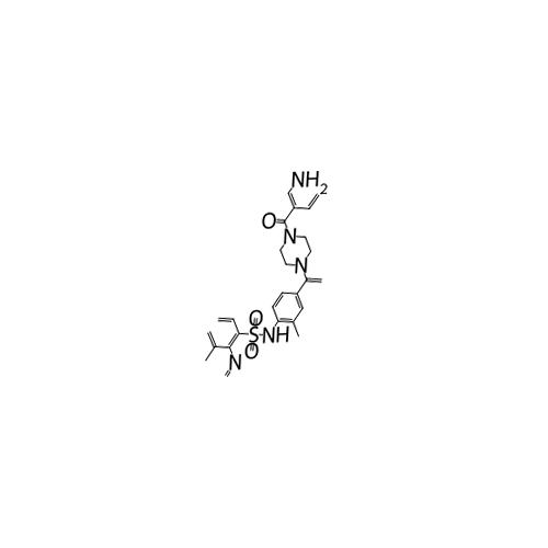 C=C/C(=C(/N=C)C(=C)C)S(=O)(=O)Nc1ccc(C(=C)N2CCN(C(=O)/C(C=C)=C/N)CC2)cc1C